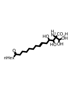 CCCCCCC(=O)CCCCCCC=CCC(O)C(O)C(N)(C(=O)O)C(O)O